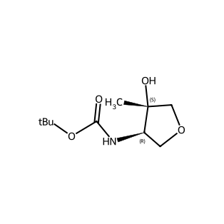 CC(C)(C)OC(=O)N[C@@H]1COC[C@@]1(C)O